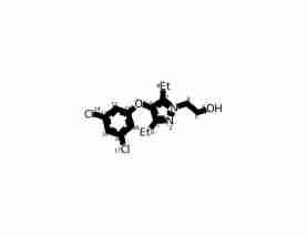 CCc1nn(CCO)c(CC)c1Oc1cc(Cl)cc(Cl)c1